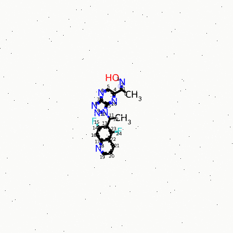 C/C(=N/O)c1cnc2nnn(C(C)c3c(F)cc4ncccc4c3F)c2n1